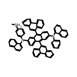 C[SiH2]c1ccc(N(c2ccc3c(-c4cc5ccccc5c5ccccc45)c4cc(N(c5ccccc5)c5cccc6ccccc56)ccc4c(-c4cc5ccccc5c5ccccc45)c3c2)c2cccc3ccccc23)cc1